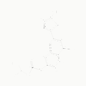 CC(C)OC(=O)Nc1cc2cc(-c3cnn(C)c3)cc(Cl)c2nn1